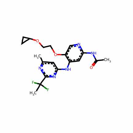 CC(=O)Nc1cc(Nc2cc(C)nc(C(C)(F)F)n2)c(OCCOC2CC2)cn1